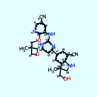 CC1(COc2ncc(C#N)cc2Nc2nccc(-c3cc(C#N)c4c(c3)[C@@](C)(CO)CN4)n2)COC1